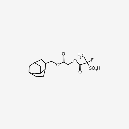 O=C(COC(=O)C(F)(C(F)(F)F)S(=O)(=O)O)OCC1CC2CC3CCC1C(C3)C2